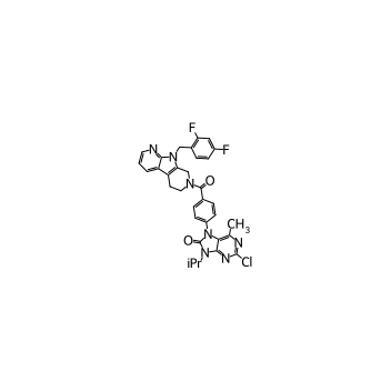 Cc1nc(Cl)nc2c1n(-c1ccc(C(=O)N3CCc4c(n(Cc5ccc(F)cc5F)c5ncccc45)C3)cc1)c(=O)n2C(C)C